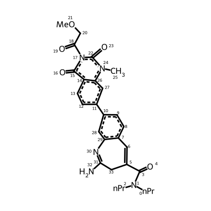 CCCN(CCC)C(=O)C1=Cc2ccc(-c3ccc4c(=O)n(C(=O)COC)c(=O)n(C)c4c3)cc2N=C(N)C1